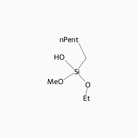 CCCCCC[Si](O)(OC)OCC